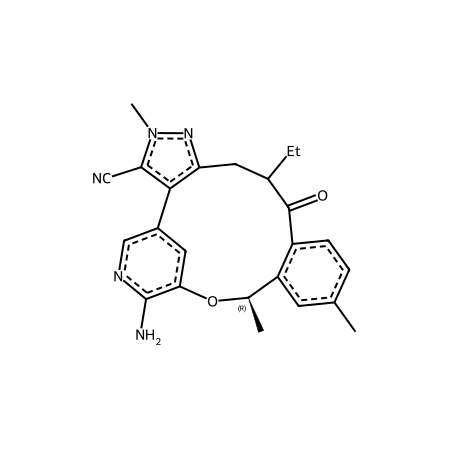 CCC1Cc2nn(C)c(C#N)c2-c2cnc(N)c(c2)O[C@H](C)c2cc(C)ccc2C1=O